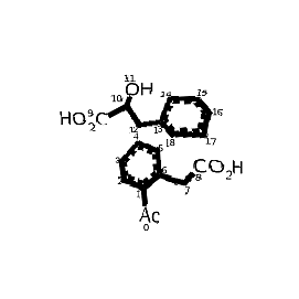 CC(=O)c1ccccc1CC(=O)O.O=C(O)C(O)Cc1ccccc1